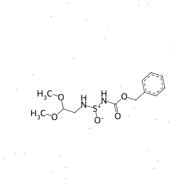 COC(CN[S+]([O-])NC(=O)OCc1ccccc1)OC